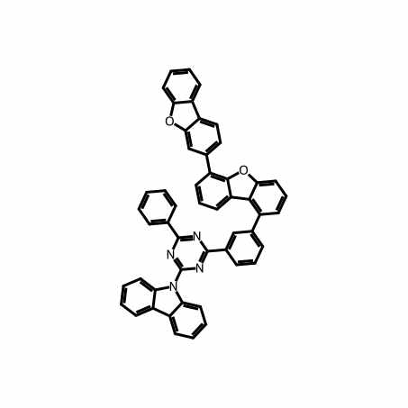 c1ccc(-c2nc(-c3cccc(-c4cccc5oc6c(-c7ccc8c(c7)oc7ccccc78)cccc6c45)c3)nc(-n3c4ccccc4c4ccccc43)n2)cc1